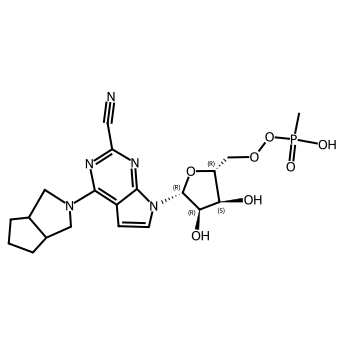 CP(=O)(O)OOC[C@H]1O[C@@H](n2ccc3c(N4CC5CCCC5C4)nc(C#N)nc32)[C@H](O)[C@@H]1O